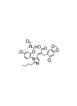 CCCCc1ncc(/C=C(\Cc2cc3c(cc2OC)OCO3)C(=O)O)n1-c1ccc(OC)cc1OCN(C)C=O